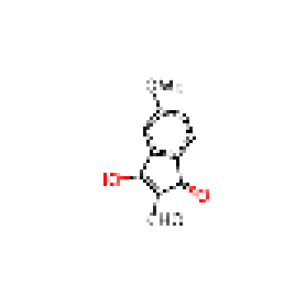 COc1ccc2c(c1)C(O)=C(C=O)C2=O